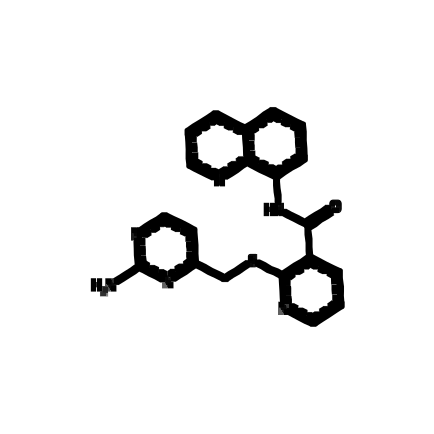 Nc1nccc(CSc2ncccc2C(=O)Nc2cccc3cccnc23)n1